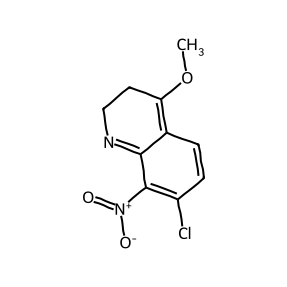 COC1=c2ccc(Cl)c([N+](=O)[O-])c2=NCC1